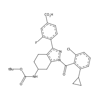 CC(C)(C)OC(=O)NC1CCc2c(-c3ccc(C(=O)O)cc3F)nn(C(=O)c3c(Cl)cccc3C3CC3)c2C1